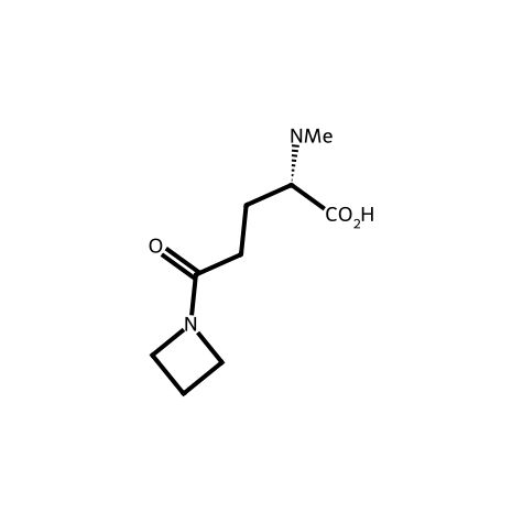 CN[C@@H](CCC(=O)N1CCC1)C(=O)O